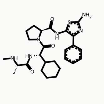 CN[C@@H](C)C(=O)N[C@H](C(=O)N1CCC[C@H]1C(=O)Nc1sc(N)nc1-c1ccccc1)C1CCCCC1